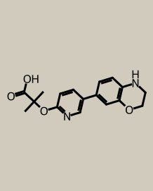 CC(C)(Oc1ccc(-c2ccc3c(c2)OCCN3)cn1)C(=O)O